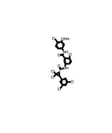 COc1cc(NC(=O)c2cc(NC(=O)[C@@H]3C(c4cc(Cl)cc(Cl)c4)C3(Cl)Cl)ccc2Cl)ccc1Cl